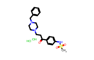 CS(=O)(=O)Nc1ccc(C(=O)CCN2CCN(Cc3ccccc3)CC2)cc1.Cl.Cl